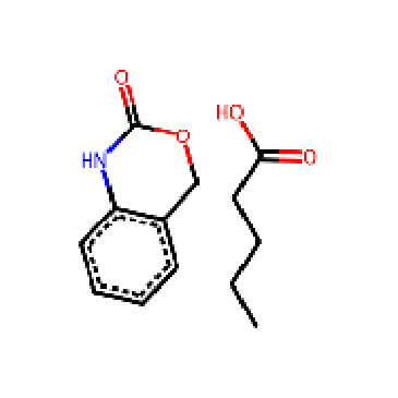 CCCCC(=O)O.O=C1Nc2ccccc2CO1